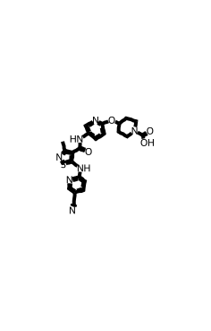 Cc1nsc(Nc2ccc(C#N)cn2)c1C(=O)Nc1ccc(OC2CCN(C(=O)O)CC2)nc1